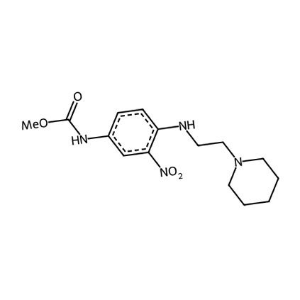 COC(=O)Nc1ccc(NCCN2CCCCC2)c([N+](=O)[O-])c1